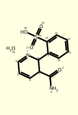 NC(=O)C1C=CC=NC1c1ccccc1S(=O)(=O)O.O